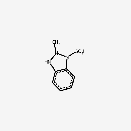 CN1Nc2ccccc2N1S(=O)(=O)O